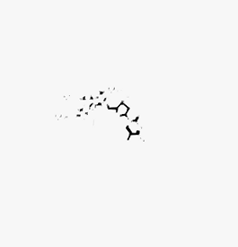 COP(=O)(O)OP(=O)(OC)OP(=O)(OC)OCC1OC(n2cc(C)c(N)nc2=O)CC1O